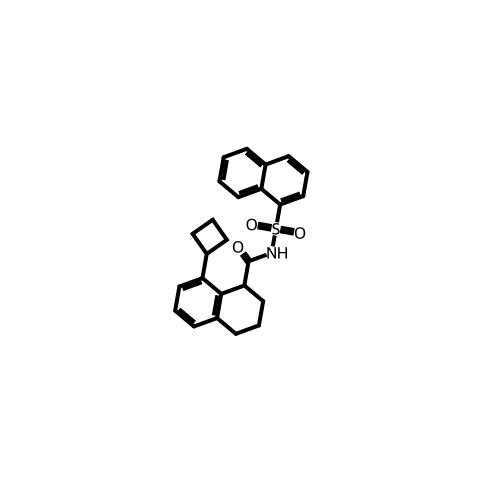 O=C(NS(=O)(=O)c1cccc2ccccc12)C1CCCc2cccc(C3CCC3)c21